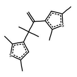 C=C(c1cc(C)sc1C)C(C)(C)c1cc(C)sc1C